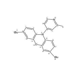 Cc1cc(N2c3ccc(C(C)(C)C)cc3Oc3cc(C(C)(C)C)ccc32)ccn1